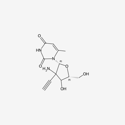 C#CC1(N)C(O)[C@@H](CO)O[C@H]1n1c(C)cc(=O)[nH]c1=O